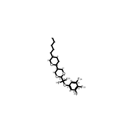 CCCCCC1CCC(C2COC(C(F)(F)Oc3cc(F)c(F)c(F)c3)OC2)OC1